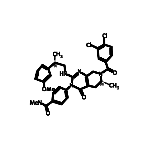 CNC(=O)c1ccc(-n2c(NC[C@@H](C)c3cccc(OC)c3)nc3c(c2=O)C[C@@H](C)N(C(=O)c2ccc(Cl)c(Cl)c2)C3)cc1